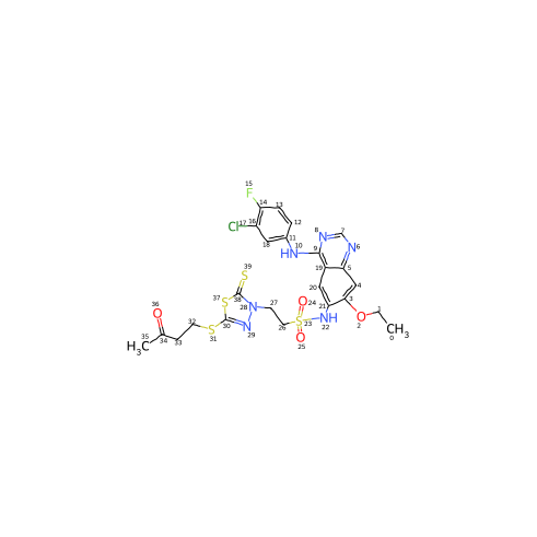 CCOc1cc2ncnc(Nc3ccc(F)c(Cl)c3)c2cc1NS(=O)(=O)CCn1nc(SCCC(C)=O)sc1=S